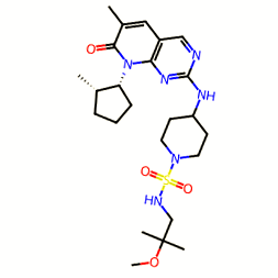 COC(C)(C)CNS(=O)(=O)N1CCC(Nc2ncc3cc(C)c(=O)n([C@@H]4CCC[C@@H]4C)c3n2)CC1